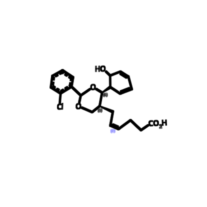 O=C(O)CC/C=C\C[C@H]1COC(c2ccccc2Cl)O[C@H]1C1C=CC=CC1O